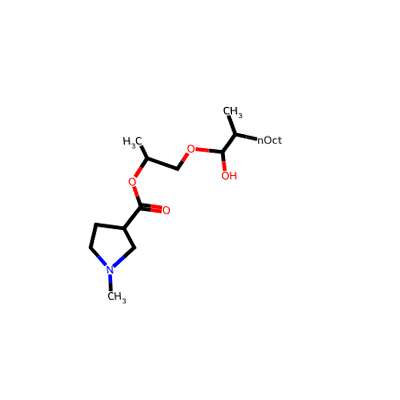 CCCCCCCCC(C)C(O)OCC(C)OC(=O)C1CCN(C)C1